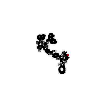 C=C1/C=C\C=C/CCCC[C@H]1NC(=O)[C@@H]1C[C@H](NC(=O)c2ccc(NC(=O)c3ccc(C[C@H](NC(=O)OCC4c5ccccc5-c5ccccc54)C(=O)N4C[SiH](C)C[C@H]4C(=O)N[C@@H]4CCCc5ccccc54)cc3)cc2)CN1C(=O)[C@@H](NC(=O)[C@H](C)NC)C(C)(C)C